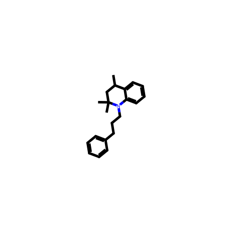 CC1CC(C)(C)N(CCCc2ccccc2)c2ccccc21